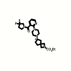 CCOC(=O)N1CC2(CC[C@@H](N3CCN(c4ncccc4C(=O)N4CCC(F)(F)C4)CC3)C2)C1